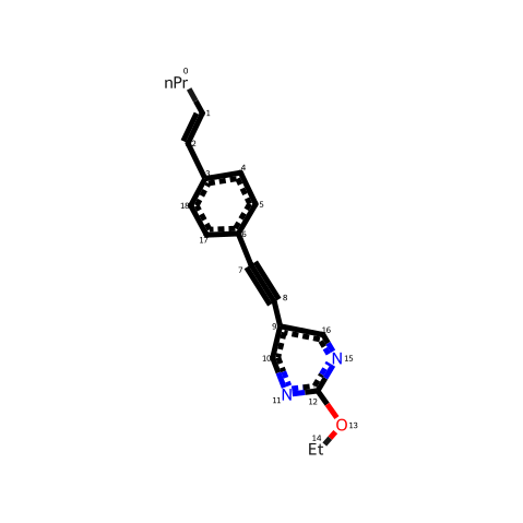 CCC/C=C/c1ccc(C#Cc2cnc(OCC)nc2)cc1